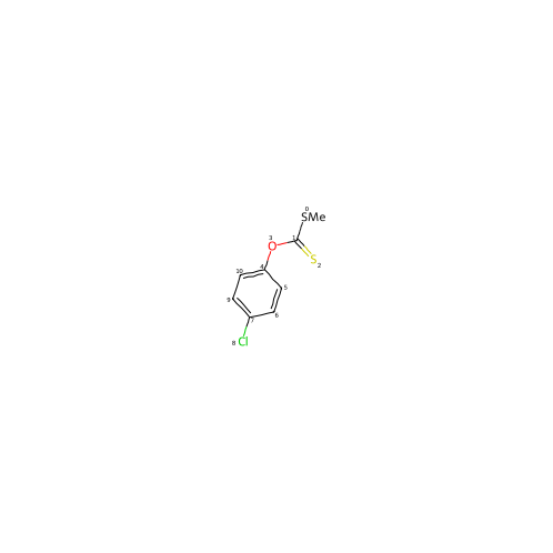 CSC(=S)Oc1ccc(Cl)cc1